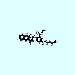 CCOC(=O)c1cc(N(C)CCCCC#N)ccc1NC(=O)/C=C(/C)c1ccc2ccccc2c1